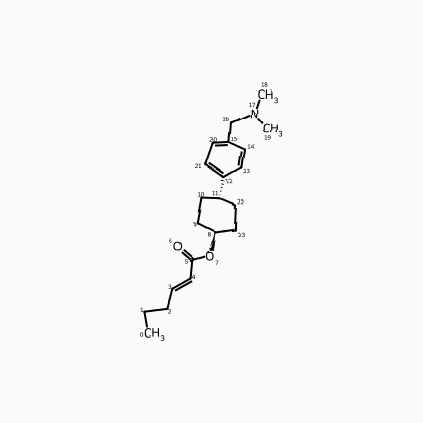 CCC/C=C/C(=O)O[C@H]1CC[C@H](c2ccc(CN(C)C)cc2)CC1